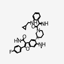 CNC(=O)c1c(-c2ccc(F)cc2)oc2cc(NC)c([C@H]3CCCN(C(=O)C(=N)c4ccccc4NCC4CC4)C3)cc12